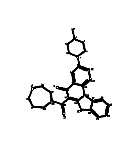 CN1CCN(c2cc3c(=O)c(C(=O)N4CCCOCC4)c4sc5ccccc5n4c3nn2)CC1